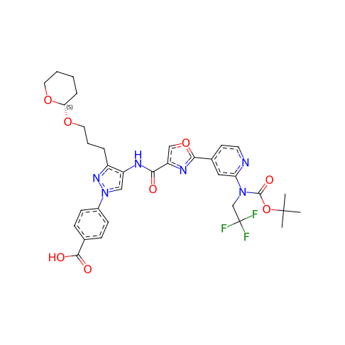 CC(C)(C)OC(=O)N(CC(F)(F)F)c1cc(-c2nc(C(=O)Nc3cn(-c4ccc(C(=O)O)cc4)nc3CCCO[C@H]3CCCCO3)co2)ccn1